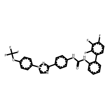 O=C(Nc1ccc(-c2ncn(-c3ccc(OC(F)(F)F)cc3)n2)cc1)Nc1ccccc1-c1ccc(F)c(F)c1F